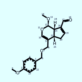 COc1ccc(COCC2=CO[C@@H](OC)[C@@H]3C(C=O)=CC[C@H]23)cc1